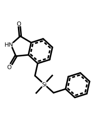 C[Si](C)(Cc1ccccc1)Cc1cccc2c1C(=O)NC2=O